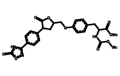 COC(=O)C(Cc1ccc(OCC2CN(c3ccc(-c4noc(=O)[nH]4)cc3)C(=O)O2)cc1)NC(=O)OC(C)(C)C